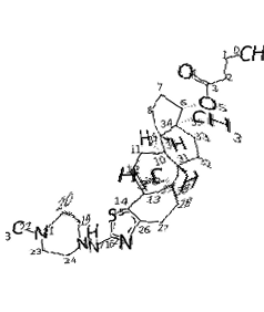 CCCC(=O)O[C@H]1CC[C@H]2[C@@H]3CC=C4c5sc(NN6CCN(C)CC6)nc5CC[C@]4(C)[C@H]3CC[C@]12C